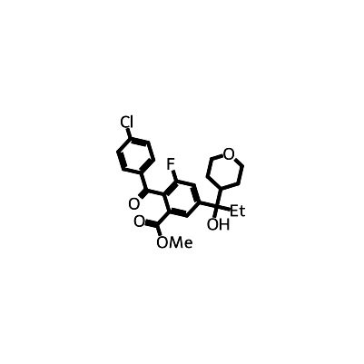 CCC(O)(c1cc(F)c(C(=O)c2ccc(Cl)cc2)c(C(=O)OC)c1)C1CCOCC1